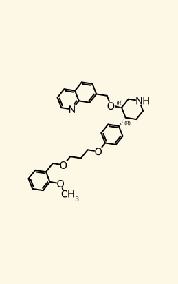 COc1ccccc1COCCCOc1ccc([C@H]2CCNC[C@@H]2OCc2ccc3cccnc3c2)cc1